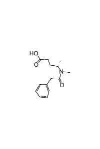 C[C@@H](CCC(=O)O)N(C)C(=O)Cc1ccccc1